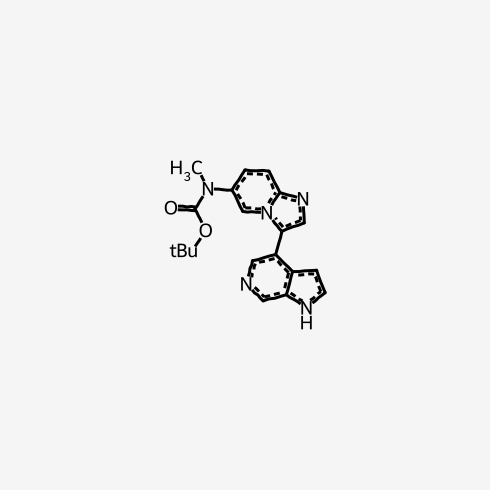 CN(C(=O)OC(C)(C)C)c1ccc2ncc(-c3cncc4[nH]ccc34)n2c1